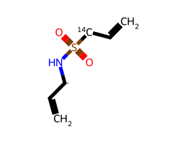 C=C[CH]NS(=O)(=O)[14CH2]C=C